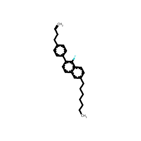 C=CCCc1ccc(-c2ccc3cc(CCCCCCC)ccc3c2F)cc1